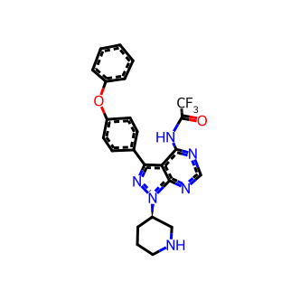 O=C(Nc1ncnc2c1c(-c1ccc(Oc3ccccc3)cc1)nn2[C@@H]1CCCNC1)C(F)(F)F